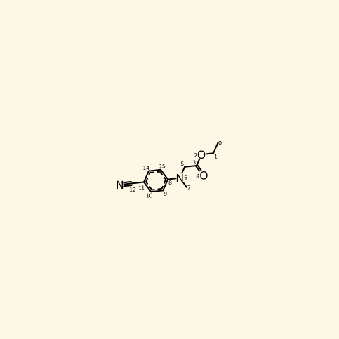 CCOC(=O)CN(C)c1ccc(C#N)cc1